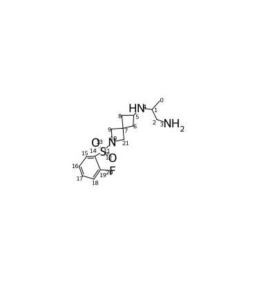 CC(CN)NC1CC2(C1)CN(S(=O)(=O)c1ccccc1F)C2